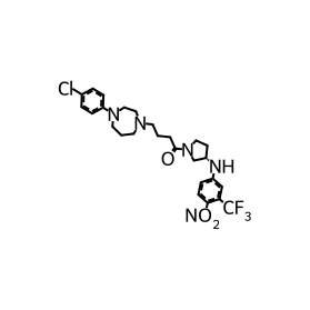 O=C(CCCN1CCCN(c2ccc(Cl)cc2)CC1)N1CC[C@H](Nc2ccc([N+](=O)[O-])c(C(F)(F)F)c2)C1